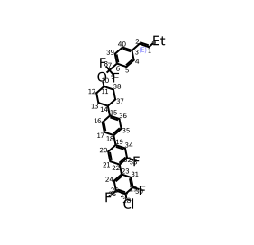 CC/C=C/c1ccc(C(F)(F)OC2CCC(c3ccc(-c4ccc(-c5cc(F)c(Cl)c(F)c5)c(F)c4)cc3)CC2)cc1